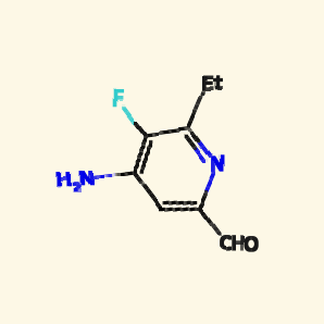 CCc1nc(C=O)cc(N)c1F